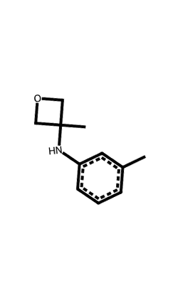 Cc1cccc(NC2(C)COC2)c1